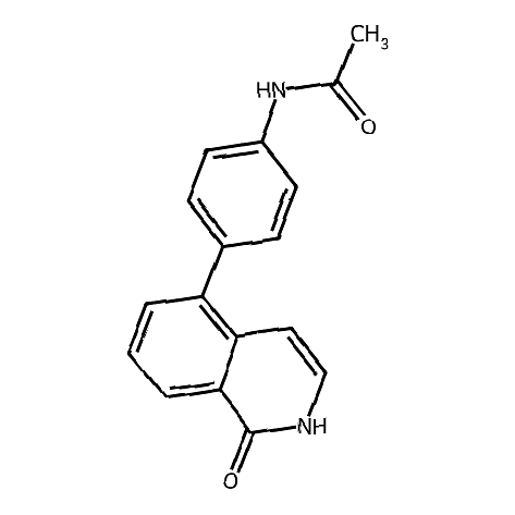 CC(=O)Nc1ccc(-c2cccc3c(=O)[nH]ccc23)cc1